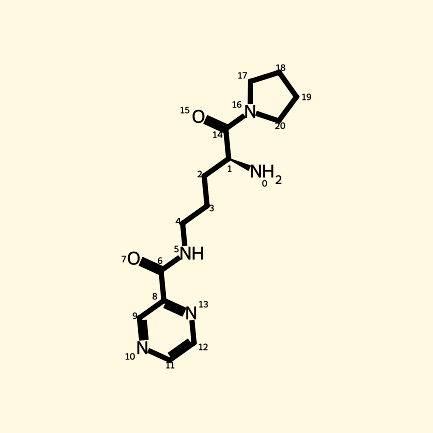 N[C@@H](CCCNC(=O)c1cnccn1)C(=O)N1CCCC1